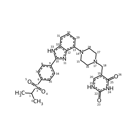 CC(C)S(=O)(=O)c1ccc(-c2nc3c(N4CCN(Cc5c[nH]c(=O)[nH]c5=O)CC4)cccc3[nH]2)cc1